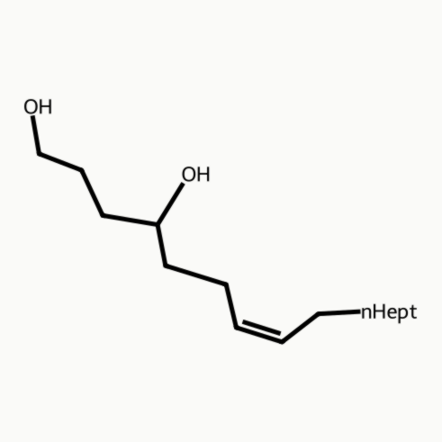 CCCCCCCC/C=C\CCC(O)CCCO